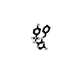 CC(=O)c1ccc(S(=O)(=O)Nc2ncc(Br)nc2OCc2ccccc2)cc1